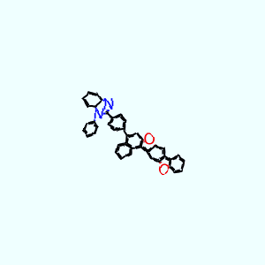 C1=CC2N=C(c3ccc(-c4cc5oc6cc7c(cc6c5c5ccccc45)oc4ccccc47)cc3)N(c3ccccc3)C2C=C1